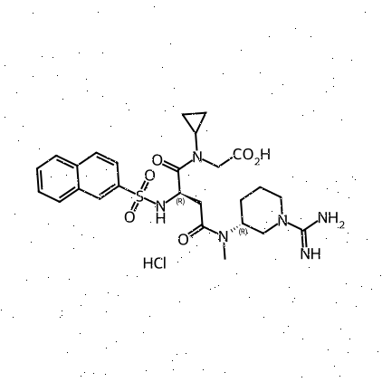 CN(C(=O)C[C@@H](NS(=O)(=O)c1ccc2ccccc2c1)C(=O)N(CC(=O)O)C1CC1)[C@@H]1CCCN(C(=N)N)C1.Cl